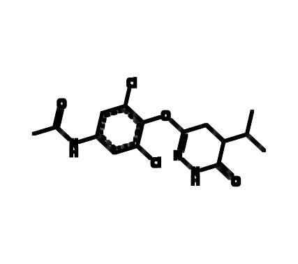 CC(=O)Nc1cc(Cl)c(OC2=NNC(=O)C(C(C)C)C2)c(Cl)c1